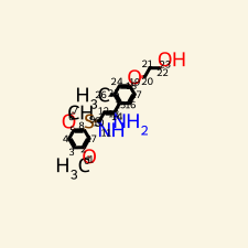 COc1ccc(OC)c(SC(=N)/C=C(\N)c2ccc(OCCCO)cc2C)c1